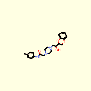 Cc1ccc(NC(=O)CN2CCN(CC(O)C3COc4ccccc4O3)CC2)cc1